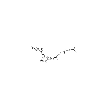 CC(C)=CCC/C(C)=C/CC/C(C)=C/CSC[C@H](NC(=O)C=CC(N)=O)C(=O)O